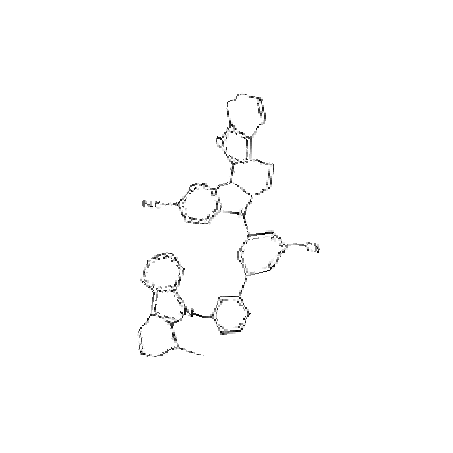 CC1CC=Cc2c1n(-c1cccc(-c3cc(C#N)cc(N4c5ccc(C#N)cc5C5c6oc7c(c6C=CC54)C=CCC7)c3)c1)c1ccccc21